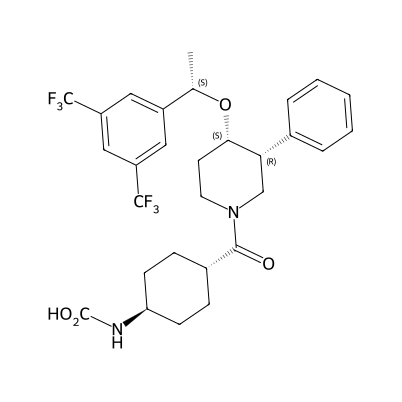 C[C@H](O[C@H]1CCN(C(=O)[C@H]2CC[C@H](NC(=O)O)CC2)C[C@H]1c1ccccc1)c1cc(C(F)(F)F)cc(C(F)(F)F)c1